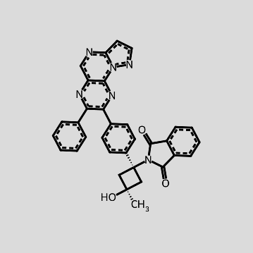 C[C@]1(O)C[C@@](c2ccc(-c3nc4c(cnc5ccnn54)nc3-c3ccccc3)cc2)(N2C(=O)c3ccccc3C2=O)C1